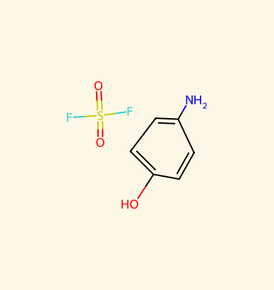 Nc1ccc(O)cc1.O=S(=O)(F)F